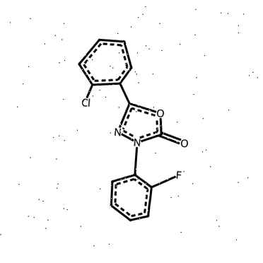 O=c1oc(-c2ccccc2Cl)nn1-c1ccccc1F